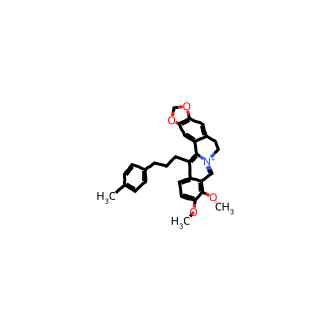 COc1ccc2c(CCCc3ccc(C)cc3)c3[n+](cc2c1OC)CCc1cc2c(cc1-3)OCO2